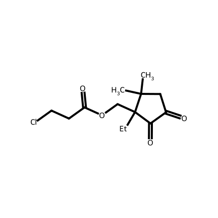 CCC1(COC(=O)CCCl)C(=O)C(=O)CC1(C)C